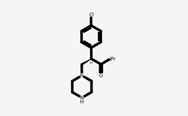 CC(C)C(=O)[C@@H](CN1CCNCC1)c1ccc(Cl)cc1